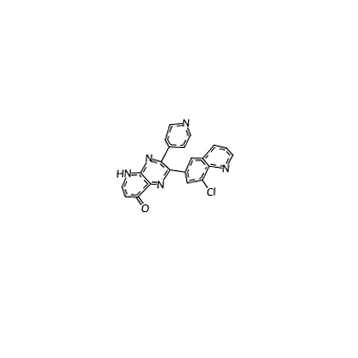 O=c1cc[nH]c2nc(-c3ccncc3)c(-c3cc(Cl)c4ncccc4c3)nc12